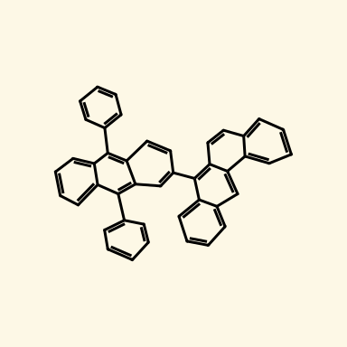 c1ccc(-c2c3ccccc3c(-c3ccccc3)c3cc(-c4c5ccccc5cc5c4ccc4ccccc45)ccc23)cc1